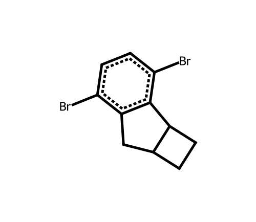 Brc1ccc(Br)c2c1CC1CCC21